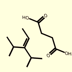 CC=C(C(C)C)C(C)C.O=C(O)CCC(=O)O